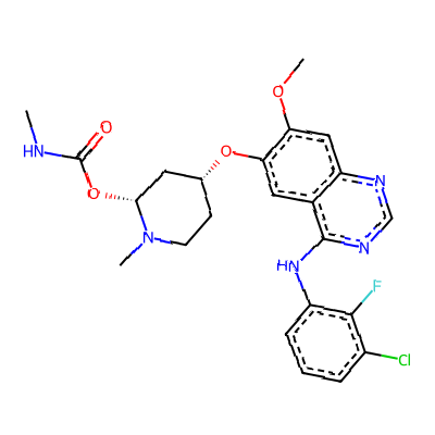 CNC(=O)O[C@@H]1C[C@H](Oc2cc3c(Nc4cccc(Cl)c4F)ncnc3cc2OC)CCN1C